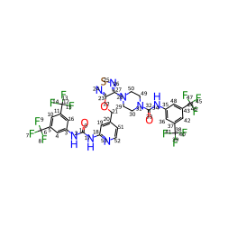 O=C(Nc1cc(C(F)(F)F)cc(C(F)(F)F)c1)Nc1cc(COc2nsnc2N2CCN(C(=O)Nc3cc(C(F)(F)F)cc(C(F)(F)F)c3)CC2)ccn1